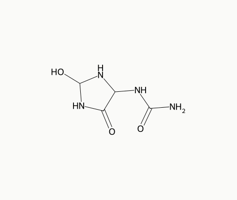 NC(=O)NC1NC(O)NC1=O